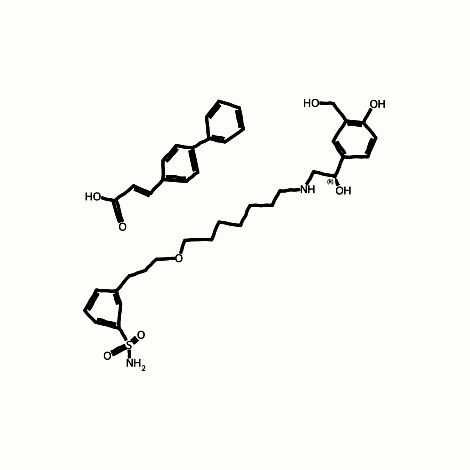 NS(=O)(=O)c1cccc(CCCOCCCCCCCNC[C@H](O)c2ccc(O)c(CO)c2)c1.O=C(O)C=Cc1ccc(-c2ccccc2)cc1